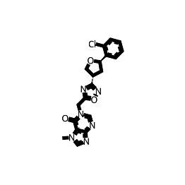 Cn1cnc2ncn(Cc3nc([C@@H]4CO[C@@H](c5ccccc5Cl)C4)no3)c(=O)c21